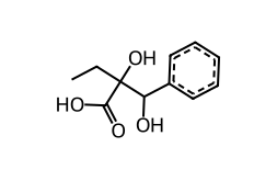 CCC(O)(C(=O)O)C(O)c1ccccc1